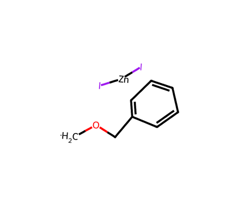 [CH2]OCc1ccccc1.[I][Zn][I]